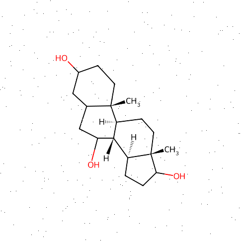 C[C@]12CCC(O)CC1CC(O)[C@@H]1[C@@H]2CC[C@]2(C)C(O)CC[C@@H]12